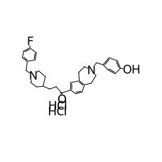 Cl.Cl.O=C(CCC1CCN(Cc2ccc(F)cc2)CC1)c1ccc2c(c1)CCN(Cc1ccc(O)cc1)CC2